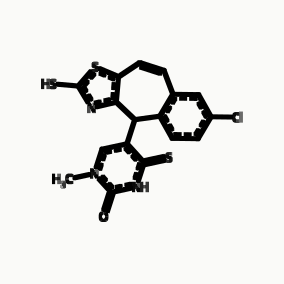 Cn1cc(C2c3ccc(Cl)cc3C=Cc3sc(S)nc32)c(=S)[nH]c1=O